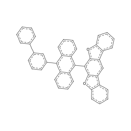 c1ccc(-c2cccc(-c3c4ccccc4c(-c4c5oc6ccccc6c5cc5c4oc4ccccc45)c4ccccc34)c2)cc1